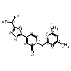 Cc1cc(C)nc(Cn2ccc(-c3nnc(C(F)F)o3)cc2=O)n1